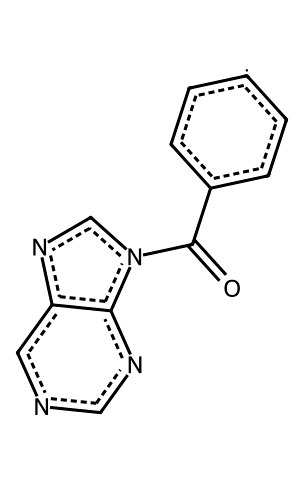 O=C(c1cc[c]cc1)n1cnc2cncnc21